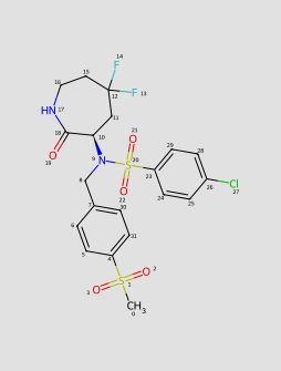 CS(=O)(=O)c1ccc(CN([C@@H]2CC(F)(F)CCNC2=O)S(=O)(=O)c2ccc(Cl)cc2)cc1